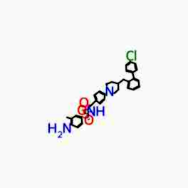 Cc1cc(S(=O)(=O)NC(=O)c2ccc(N3CCC(Cc4ccccc4-c4ccc(Cl)cc4)CC3)cc2)ccc1N